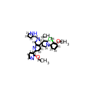 CCOc1ncccc1-c1ccc2c(n1)CN(C[C@H]1CCCN1)C[C@]21CCN(c2cccc(OC)c2Cl)C[C@H]1CC